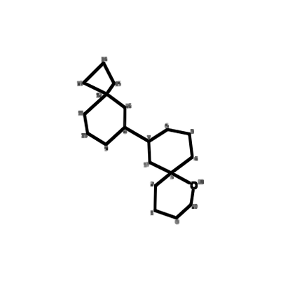 C1CCC2(CCCC(C3CCCC4(CCC4)C3)C2)OC1